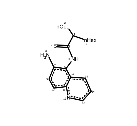 CCCCCCCCC(CCCCCC)C(=S)Nc1c(N)ccc2ncccc12